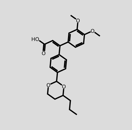 CCCC1CCOC(c2ccc(/C(=C\C(=O)O)c3ccc(OC)c(OC)c3)cc2)O1